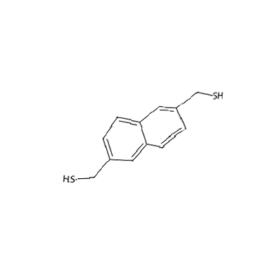 SCc1ccc2cc(CS)ccc2c1